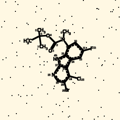 CN(C(=O)OC(C)(C)C)c1cc(F)cc2c1[nH]c1ncc(Br)c(Cl)c12